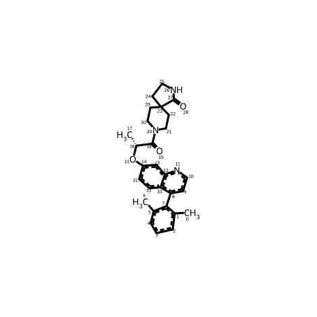 Cc1cccc(C)c1-c1ccnc2cc(O[C@H](C)C(=O)N3CCC4(CCNC4=O)CC3)ccc12